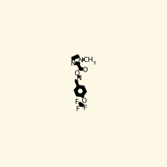 Cn1ccnc1C(=O)ON=Cc1ccc(OC(F)(F)F)cc1